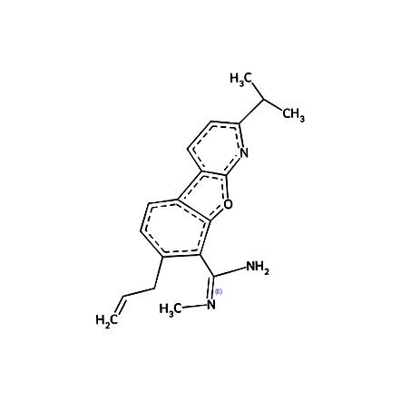 C=CCc1ccc2c(oc3nc(C(C)C)ccc32)c1/C(N)=N\C